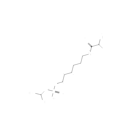 CC(C)OP(O)(=S)OCCCCCCNC(=O)C(C)C